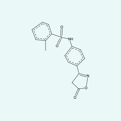 Cc1ccccc1S(=O)(=O)Nc1ccc(C2=NOC(=O)C2)cc1